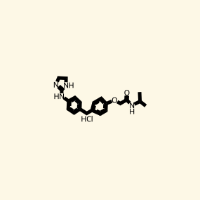 CC(C)NC(=O)COc1ccc(Cc2ccc(NC3=NCCN3)cc2)cc1.Cl